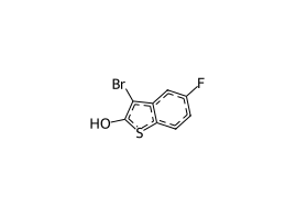 Oc1sc2ccc(F)cc2c1Br